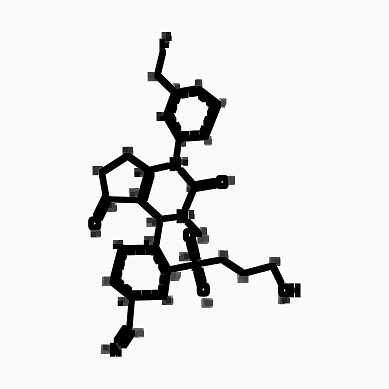 CN1C(=O)N(c2cccc(CF)c2)C2=C(C(=O)CC2)C1c1ccc(C#N)cc1S(=O)(=O)CCCO